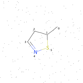 CC1[CH]C=NS1